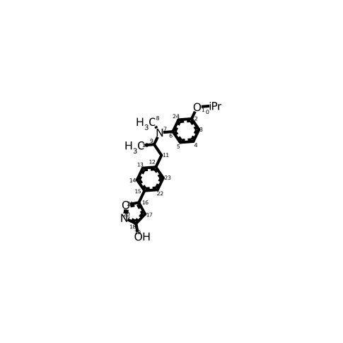 CC(C)Oc1cccc(N(C)C(C)Cc2ccc(-c3cc(O)no3)cc2)c1